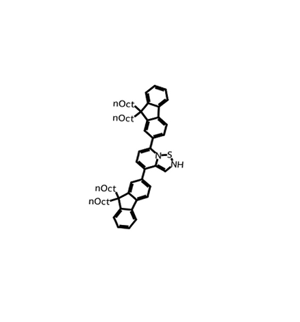 CCCCCCCCC1(CCCCCCCC)c2ccccc2-c2ccc(C3=CC=C(c4ccc5c(c4)C(CCCCCCCC)(CCCCCCCC)c4ccccc4-5)N4SNC=C34)cc21